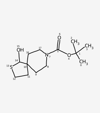 CC(C)(C)OC(=O)N1CCC2(CCSC2O)CC1